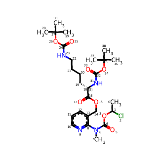 CC(Cl)OC(=O)N(C)c1ncccc1COC(=O)[C@H](CCCCNC(=O)OC(C)(C)C)NC(=O)OC(C)(C)C